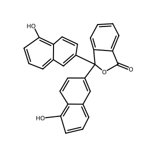 O=C1OC(c2ccc3c(O)cccc3c2)(c2ccc3c(O)cccc3c2)c2ccccc21